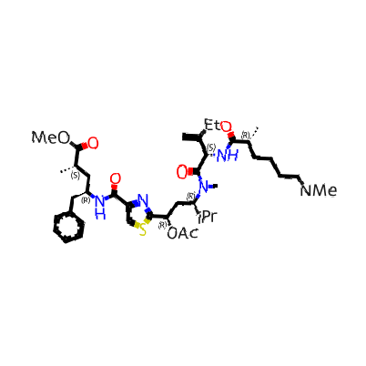 C=C(CC)[C@H](NC(=O)[C@H](C)CCCCNC)C(=O)N(C)[C@H](C[C@@H](OC(C)=O)c1nc(C(=O)N[C@@H](Cc2ccccc2)C[C@H](C)C(=O)OC)cs1)C(C)C